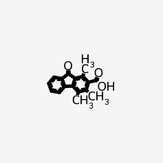 Cc1c(C)c2c(c(C)c1C(=O)O)C(=O)c1ccccc1-2